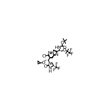 CC(C)(C)OC(=O)N[C@@H](COC(C)(C)C(F)(F)F)c1cn2nc(Cl)c([C@@H](COC3CC3)N3C[C@@H](C(F)(F)F)NC3=O)cc2n1